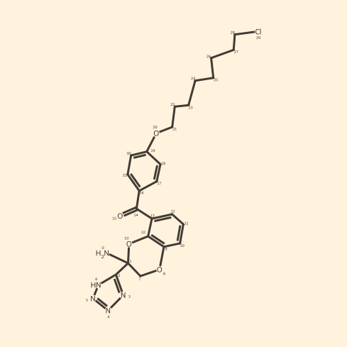 NC1(c2nnn[nH]2)COc2cccc(C(=O)c3ccc(OCCCCCCCCCl)cc3)c2O1